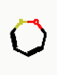 C1=CCOSC=C1